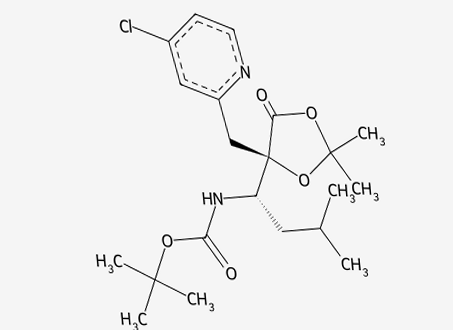 CC(C)C[C@H](NC(=O)OC(C)(C)C)[C@@]1(Cc2cc(Cl)ccn2)OC(C)(C)OC1=O